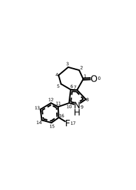 O=C1CCCCc2c1c[nH]c2-c1ccccc1F